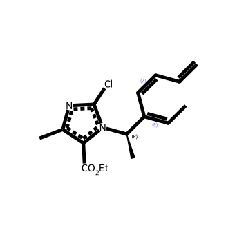 C=C/C=C\C(=C/C)[C@@H](C)n1c(Cl)nc(C)c1C(=O)OCC